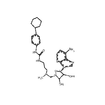 CN(CCCNC(=O)Nc1ccc(C2CCCCC2)cc1)C[C@H]1O[C@@H](n2cnc3c(N)ccnc32)C(O)C1O